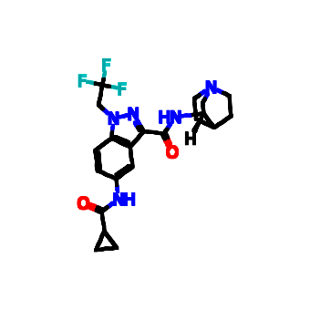 O=C(N[C@@H]1CN2CCC1CC2)c1nn(CC(F)(F)F)c2ccc(NC(=O)C3CC3)cc12